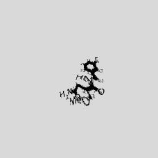 COC[C@@H](CC(N)=O)C(=O)NCc1cccc(F)c1